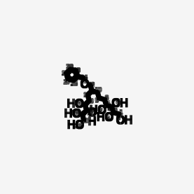 OCC(O)C(O)C(O)CCCC(CCC(O)C(O)C(O)CO)COCc1ccccc1